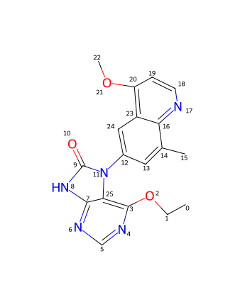 CCOc1ncnc2[nH]c(=O)n(-c3cc(C)c4nccc(OC)c4c3)c12